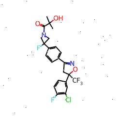 CC(C)(O)C(=O)N1CC(F)(c2ccc(C3=NOC(c4ccc(F)c(Cl)c4)(C(F)(F)F)C3)cc2)C1